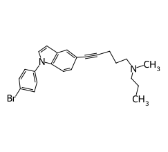 CCCN(C)CCCC#Cc1ccc2c(ccn2-c2ccc(Br)cc2)c1